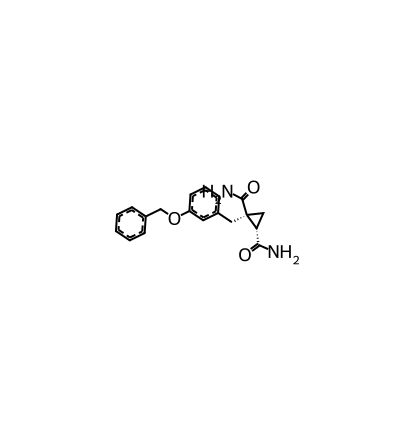 NC(=O)[C@H]1C[C@]1(Cc1cccc(OCc2ccccc2)c1)C(N)=O